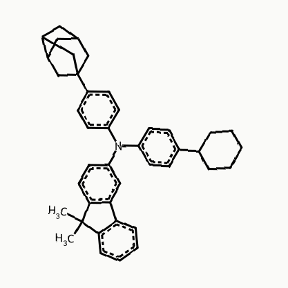 CC1(C)c2ccccc2-c2cc(N(c3ccc(C4CCCCC4)cc3)c3ccc(C45CC6CC(C4)C(C6)C5)cc3)ccc21